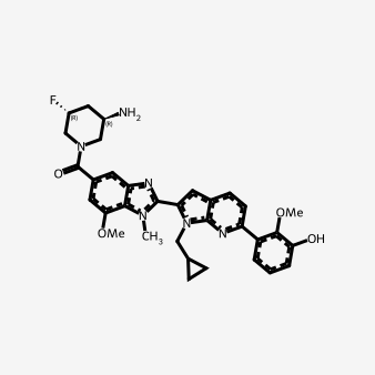 COc1c(O)cccc1-c1ccc2cc(-c3nc4cc(C(=O)N5C[C@H](N)C[C@@H](F)C5)cc(OC)c4n3C)n(CC3CC3)c2n1